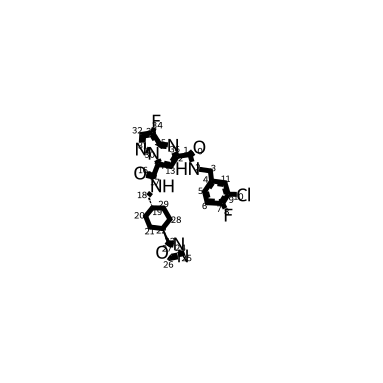 O=C(NCc1ccc(F)c(Cl)c1)c1cc(C(=O)NC[C@H]2CC[C@H](c3nnco3)CC2)n2ncc(F)c2n1